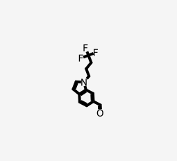 O=Cc1ccc2ccn(CCCC(F)(F)F)c2c1